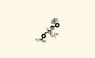 CCO[C@@H](C(=O)NCc1ccc(C(=N)N)cc1)n1ccc(-c2ccccc2NS(C)(=O)=O)n1.Cl